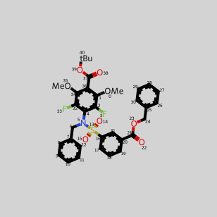 COc1c(F)c(N(Cc2ccccc2)S(=O)(=O)c2cccc(C(=O)OCc3ccccc3)c2)c(F)c(OC)c1C(=O)OC(C)(C)C